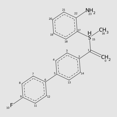 C=C(c1ccc(-c2ccc(F)cc2)cc1)[SH](C)c1ccccc1N